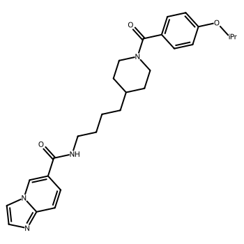 CC(C)Oc1ccc(C(=O)N2CCC(CCCCNC(=O)c3ccc4nccn4c3)CC2)cc1